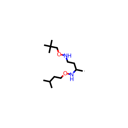 [CH2]C(CCNOCC(C)(C)C)NOCCC(C)C